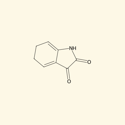 O=C1NC2=CCCC=C2C1=O